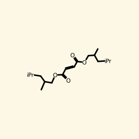 CC(C)CC(C)COC(=O)/C=C/C(=O)OCC(C)CC(C)C